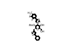 CO[C@@H]1[C@@H](n2cc(-c3ccc(C)c(F)c3F)nn2)[C@@H](O)[C@@H](CO)O[C@@H]1Cc1cc(C2CCCCC2)on1